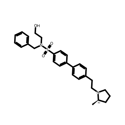 C[C@@H]1CCCN1CCc1ccc(-c2ccc(S(=O)(=O)N(CCO)Cc3ccccc3)cc2)cc1